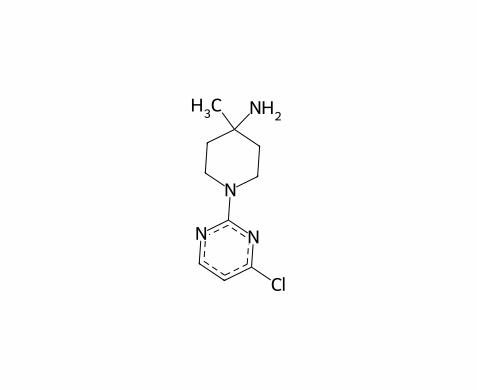 CC1(N)CCN(c2nccc(Cl)n2)CC1